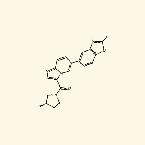 Cc1nc2cc(-c3ccc4ncc(C(=O)N5CC[C@@H](F)C5)n4c3)ccc2o1